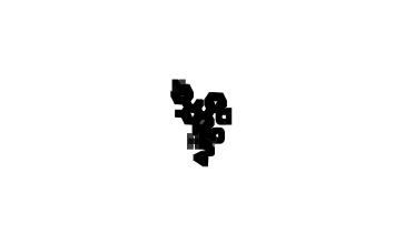 Cc1cc2nc(C(=O)NSC3CC3)cc(-c3ccccc3Cl)c2c(C)c1-c1ccncc1